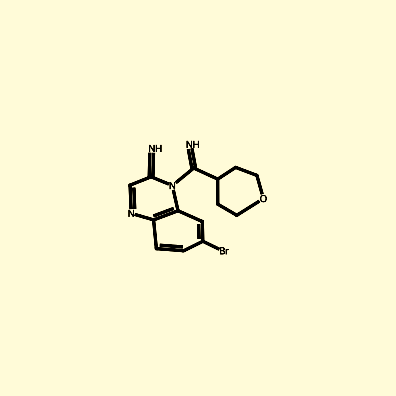 N=C(C1CCOCC1)n1c(=N)cnc2ccc(Br)cc21